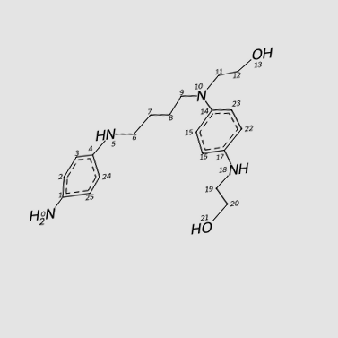 Nc1ccc(NCCCCN(CCO)c2ccc(NCCO)cc2)cc1